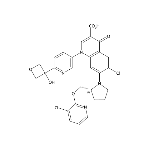 O=C(O)c1cn(-c2ccc(C3(O)COC3)nc2)c2cc(N3CCC[C@@H]3COc3ncccc3Cl)c(Cl)cc2c1=O